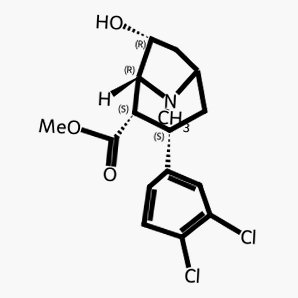 COC(=O)[C@@H]1[C@@H]2[C@H](O)CC(C[C@@H]1c1ccc(Cl)c(Cl)c1)N2C